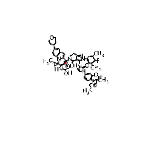 CCP(=O)(CC)c1ccc(-n2ccn(-c3c4c(nn3-c3cc(C)c(F)c(C)c3)CCN(C(=O)c3cc5cc(C6CCOCC6)ccc5n3[C@@]3(C5=NOC(O)N5)C[C@@H]3C)[C@H]4C)c2=O)cc1OC(F)F